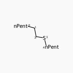 CCCCCC[CH]SCCCCC